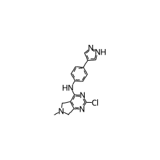 CN1Cc2nc(Cl)nc(Nc3ccc(-c4cn[nH]c4)cc3)c2C1